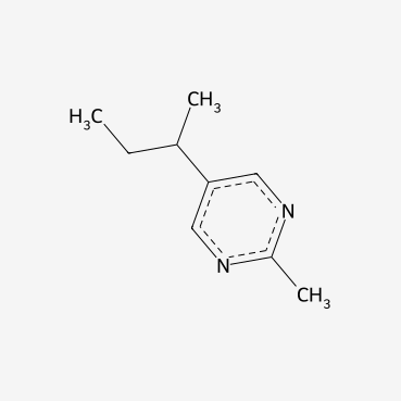 CCC(C)c1cnc(C)nc1